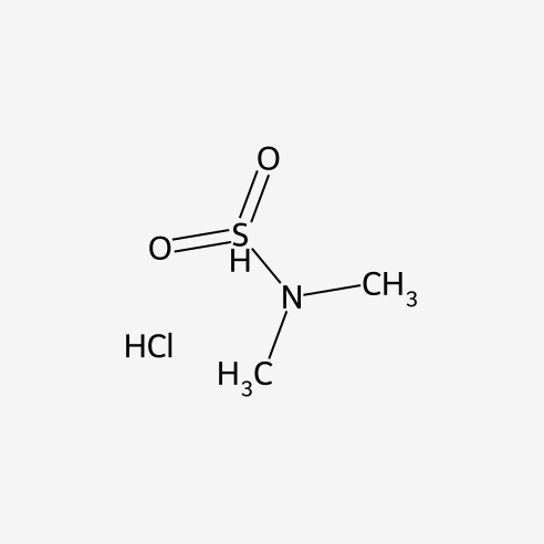 CN(C)[SH](=O)=O.Cl